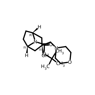 CC(C)(C)OC(=O)N1[C@@H]2CC[C@H]1C[C@@](O)(CN1CCOCC1)C2